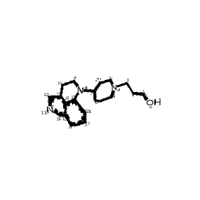 OCCCN1CCC(N2CCc3cncc4cccc2c34)CC1